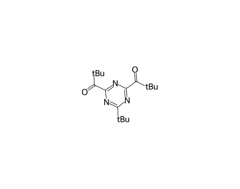 CC(C)(C)C(=O)c1nc(C(=O)C(C)(C)C)nc(C(C)(C)C)n1